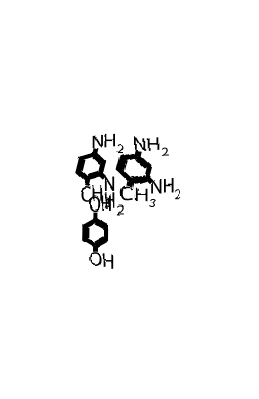 Cc1ccc(N)cc1N.Cc1ccc(N)cc1N.Oc1ccc(O)cc1